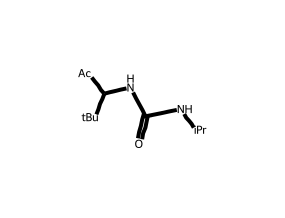 CC(=O)C(NC(=O)NC(C)C)C(C)(C)C